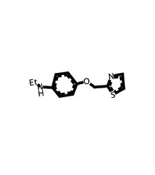 CCNc1ccc(OCc2nccs2)cc1